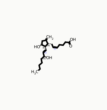 C=C1C[C@@H](O)[C@H](/C=C/[C@@H](O)CCCCC)[C@H]1C/C=C\CCCC(=O)O